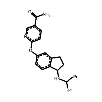 CC(C)C(NC1CCc2cc(Oc3ccc(C(N)=O)cn3)ccc21)C(C)C